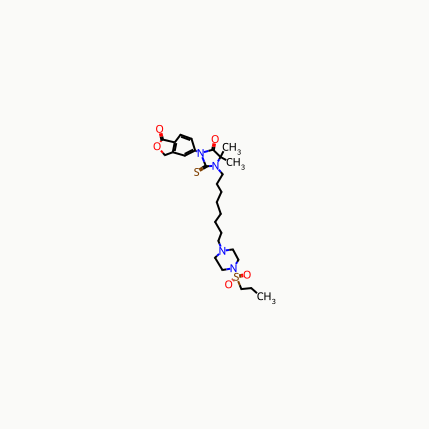 CCCS(=O)(=O)N1CCN(CCCCCCCCN2C(=S)N(c3ccc4c(c3)COC4=O)C(=O)C2(C)C)CC1